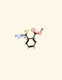 COC(=O)c1ccccc1C(N)=S